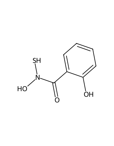 O=C(c1ccccc1O)N(O)S